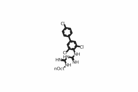 CCCCCCCCNC(=N)NC(=N)Nc1c(Cl)cc(-c2ccc(Cl)cc2)cc1Cl